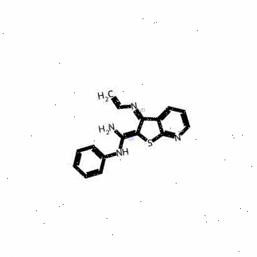 C=C/N=C1\C(=C(/N)Nc2ccccc2)Sc2ncccc21